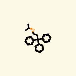 CC(C)PCCC(c1ccccc1)(c1ccccc1)c1ccccc1